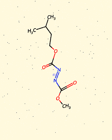 COC(=O)/N=N/C(=O)OCCC(C)C